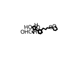 CC(C=O)[C@H]1[C@@H]2c3cccc(CCCCOC4CCCCO4)c3O[C@@H]2C[C@@H]1O